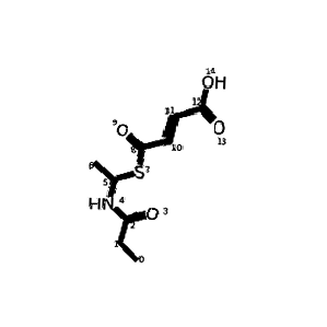 CCC(=O)NC(C)SC(=O)C=CC(=O)O